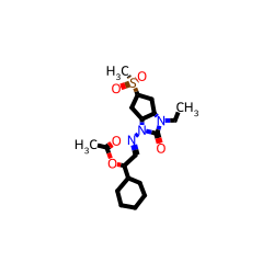 CCN1C(=O)N(/N=C/C(OC(C)=O)C2CCCCC2)C2CC(S(C)(=O)=O)CC21